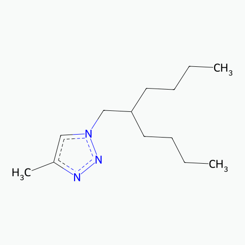 CCCCC(CCCC)Cn1cc(C)nn1